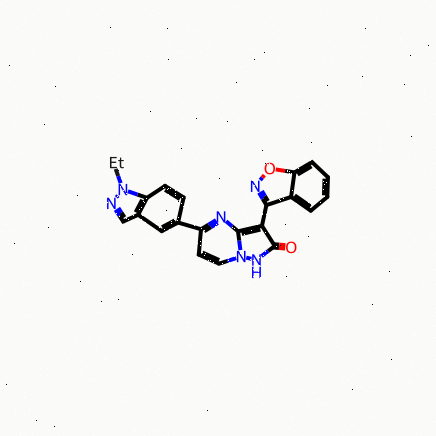 CCn1ncc2cc(-c3ccn4[nH]c(=O)c(-c5noc6ccccc56)c4n3)ccc21